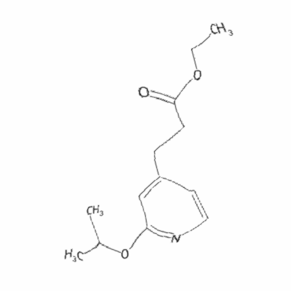 CCOC(=O)CCc1ccnc(OC(C)C)c1